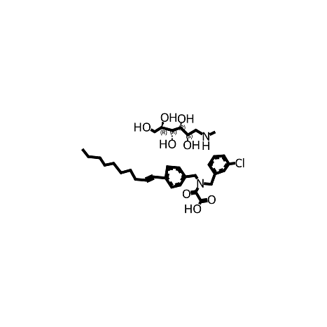 CCCCCCCCC#Cc1ccc(CN(Cc2cccc(Cl)c2)C(=O)C(=O)O)cc1.CNC[C@H](O)[C@@H](O)[C@H](O)[C@H](O)CO